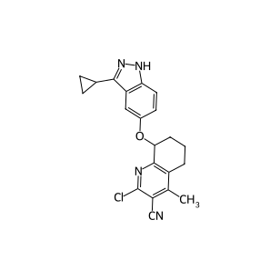 Cc1c(C#N)c(Cl)nc2c1CCCC2Oc1ccc2[nH]nc(C3CC3)c2c1